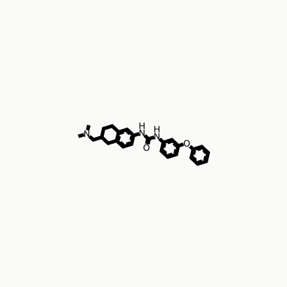 CN(C)CC1CCc2cc(NC(=O)Nc3cccc(Oc4ccccc4)c3)ccc2C1